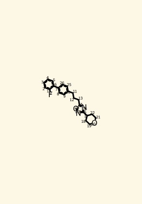 Fc1ccccc1-c1ccc(CCCc2nc(C3CCOCC3)no2)cc1